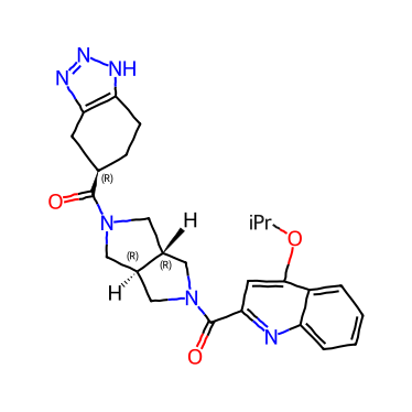 CC(C)Oc1cc(C(=O)N2C[C@H]3CN(C(=O)[C@@H]4CCc5[nH]nnc5C4)C[C@@H]3C2)nc2ccccc12